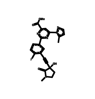 COC(=O)c1cc(-n2nccc2C)nc(-c2ccc(F)c(C#C[C@]3(O)CCN(C)C3=O)c2)n1